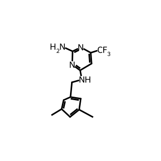 Cc1cc(C)cc(CNc2cc(C(F)(F)F)nc(N)n2)c1